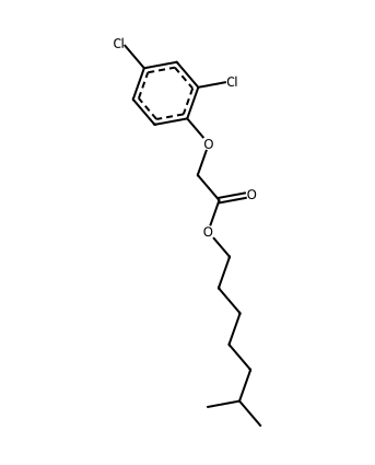 CC(C)CCCCCOC(=O)COc1ccc(Cl)cc1Cl